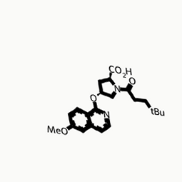 COc1ccc2c(O[C@@H]3C[C@@H](C(=O)O)N(C(=O)CCC(C)(C)C)C3)nccc2c1